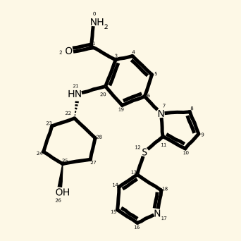 NC(=O)c1ccc(-n2cccc2Sc2cccnc2)cc1N[C@H]1CC[C@H](O)CC1